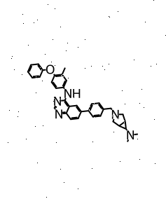 Cc1cc(Nc2ncnc3ccc(-c4ccc(CN5CC6C(C5)C6N(C)C)cc4)cc23)ccc1Oc1ccccc1